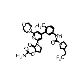 Cc1ccc(NC(=O)N2CCC(CC(F)(F)F)C2)cc1-c1cc(N2CCOCC2)nc(N2CCC(OC(N)=O)C2=O)c1